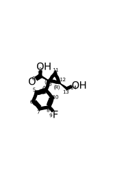 O=C(O)[C@@]1(c2cccc(F)c2)C[C@H]1CO